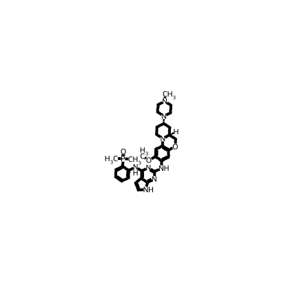 COc1cc2c(cc1Nc1nc(Nc3ccccc3P(C)(C)=O)c3cc[nH]c3n1)OC[C@H]1C[C@H](N3CCN(C)CC3)CCN21